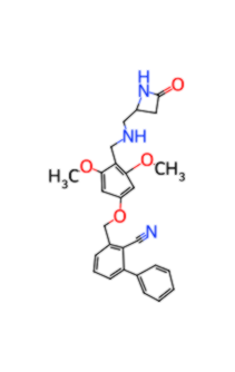 COc1cc(OCc2cccc(-c3ccccc3)c2C#N)cc(OC)c1CNCC1CC(=O)N1